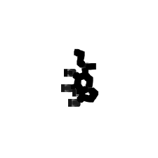 CCCN(C)C1CN2CCC(O)[C@@H]2[C@@H](O)C1O